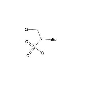 CCCCN(CCl)S(=O)(=O)Cl